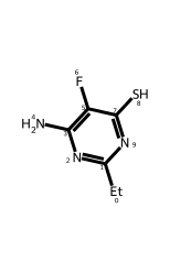 CCc1nc(N)c(F)c(S)n1